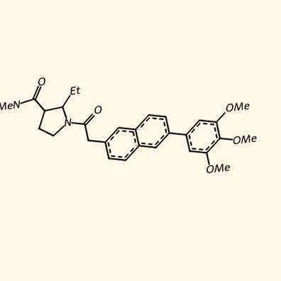 CCC1C(C(=O)NC)CCN1C(=O)Cc1ccc2cc(-c3cc(OC)c(OC)c(OC)c3)ccc2c1